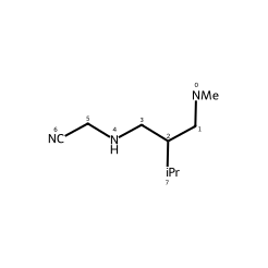 CNCC(CNCC#N)C(C)C